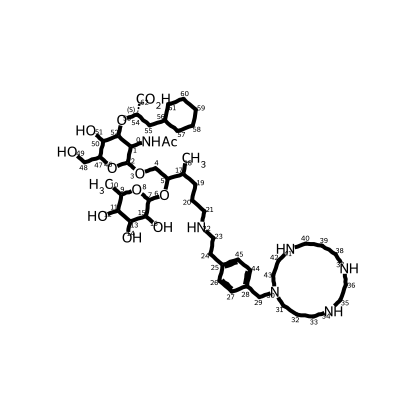 CC(=O)NC1C(OCC(OC2OC(C)C(O)C(O)C2O)C(C)CCCNCCc2ccc(CN3CCCNCCNCCCNCC3)cc2)OC(CO)C(O)C1O[C@@H](CC1CCCCC1)C(=O)O